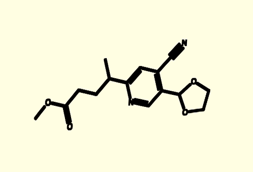 COC(=O)CCC(C)c1cc(C#N)c(C2OCCO2)cn1